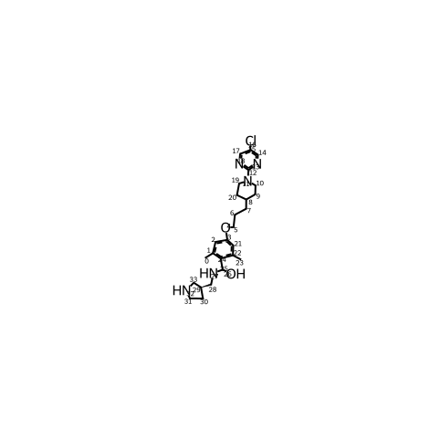 Cc1cc(OCCCC2CCN(c3ncc(Cl)cn3)CC2)cc(C)c1C(O)NC[C@H]1CCNC1